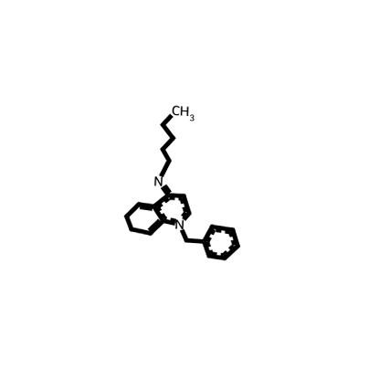 CCCCC/N=c1\ccn(Cc2ccccc2)c2c1=CCCC=2